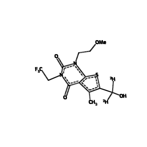 [2H]C([2H])(O)c1sc2c(c1C)c(=O)n(CC(F)(F)F)c(=O)n2CCOC